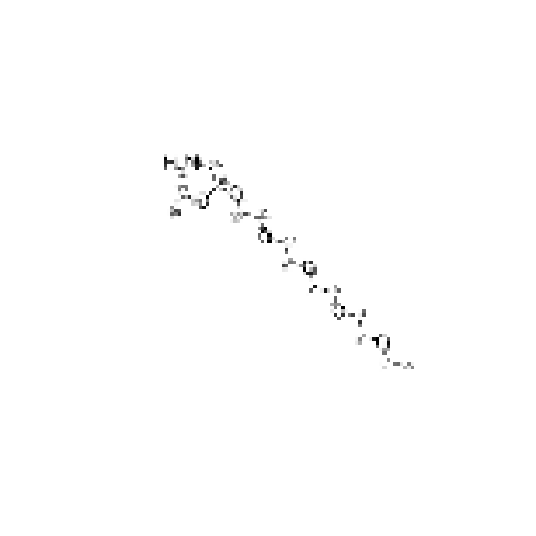 CCOCCOCCOCCOCCOC(CN)OCC